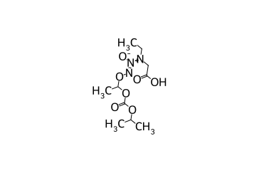 CCN(CC(=O)O)[N+]([O-])=NOC(C)OC(=O)OC(C)C